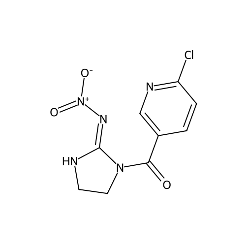 O=C(c1ccc(Cl)nc1)N1CCNC1=N[N+](=O)[O-]